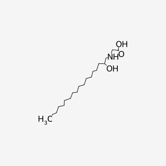 CCCCCCCCCCCCCCCCC(O)CNCC(=O)O